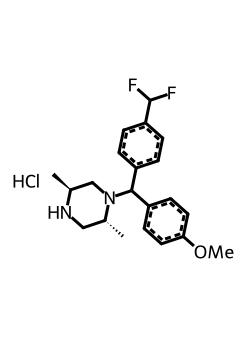 COc1ccc(C(c2ccc(C(F)F)cc2)N2C[C@H](C)NC[C@H]2C)cc1.Cl